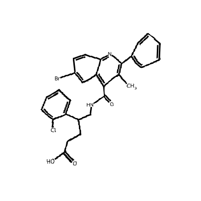 Cc1c(-c2ccccc2)nc2ccc(Br)cc2c1C(=O)NCC(CCC(=O)O)c1ccccc1Cl